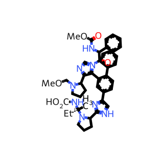 CC[C@@](C)(NC(=O)O)N1CCCC1c1nc(-c2ccc(-c3ccccc3)c(-c3c(C4CCCN4COC)ncn3C(=O)C(NC(=O)OC)c3ccccc3)c2)c[nH]1